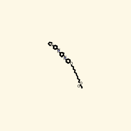 C=CC(=O)OCCCCCCCCCCCOc1ccc(/N=N/c2ccc(/N=N/c3ccc(N4CCCC4)cc3)cc2)cc1